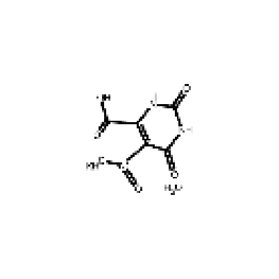 O.O=C(O)c1[nH]c(=O)[nH]c(=O)c1[N+](=O)[O-].[KH]